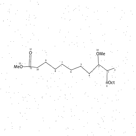 CCCCCCCCC(C)C(CCCCCCCC(=O)OC)OC